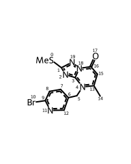 CSc1nc2n(Cc3ccc(Br)nc3)c(C)cc(=O)n2n1